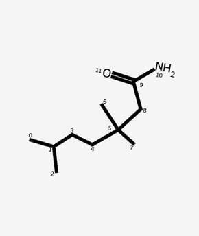 CC(C)CCC(C)(C)CC(N)=O